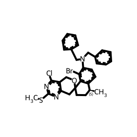 CSc1nc(Cl)c2c(n1)CC1(CC[C@H](C)c3ccc(N(Cc4ccccc4)Cc4ccccc4)c(Br)c31)OC2